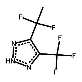 CC(F)(F)c1n[nH]nc1C(F)(F)F